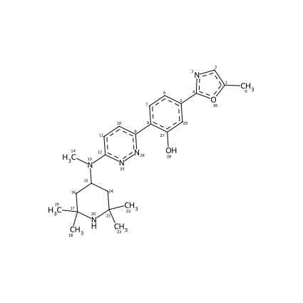 Cc1cnc(-c2ccc(-c3ccc(N(C)C4CC(C)(C)NC(C)(C)C4)nn3)c(O)c2)o1